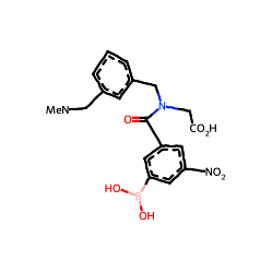 CNCc1cccc(CN(CC(=O)O)C(=O)c2cc(B(O)O)cc([N+](=O)[O-])c2)c1